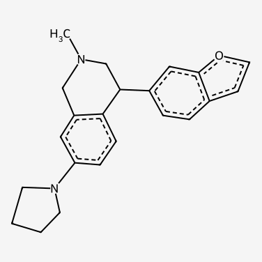 CN1Cc2cc(N3CCCC3)ccc2C(c2ccc3ccoc3c2)C1